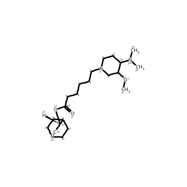 COC1CN(CCCCCC(=O)O[C@H]2CN3CCC2CC3)CCC1N(C)C